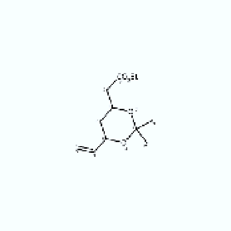 C=CC1CC(CC(=O)OCC)OC(C)(C)O1